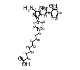 Nc1nn(C2CCN(CCCCCCCCCC(=O)O)CC2)c2cc(-c3ccccc3O)nnc12